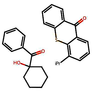 CC(C)c1cccc2c(=O)c3ccccc3sc12.O=C(c1ccccc1)C1(O)CCCCC1